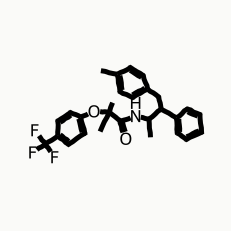 Cc1ccc(CC(c2ccccc2)C(C)NC(=O)C(C)(C)Oc2ccc(C(F)(F)F)cc2)cc1